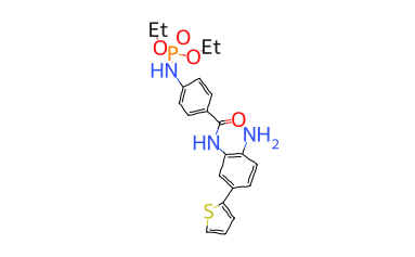 CCOP(=O)(Nc1ccc(C(=O)Nc2cc(-c3cccs3)ccc2N)cc1)OCC